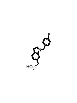 O=C(O)Cc1ccc2ccn(Cc3ccc(F)cc3)c2c1